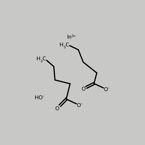 CCCCC(=O)[O-].CCCCC(=O)[O-].[In+3].[OH-]